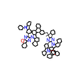 CC1(Cc2ccc3c(c2)c2ccccc2c2ccc4c(c5ccc6ccccc6c5n4-c4nc5c(nc4-c4ccc6c7ccccc7n(-c7ccccc7)c6c4)oc4ccccc45)c23)c2ccccc2-c2nc(-n3c4ccc5c6ccccc6c6ccccc6c5c4c4ccc5ccccc5c43)c(-c3ccc4c5ccccc5n(-c5ccccc5)c4c3)nc21